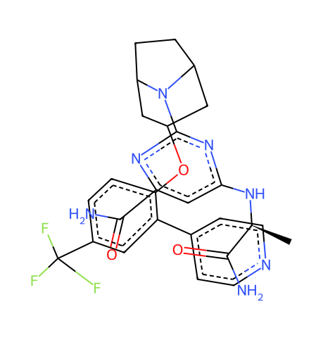 C[C@H](Nc1cc(C(N)=O)nc(N2C3CCC2CC(Oc2ccc(C(F)(F)F)cc2-c2ccncc2)C3)n1)C(N)=O